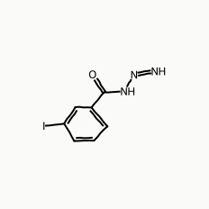 N=NNC(=O)c1cccc(I)c1